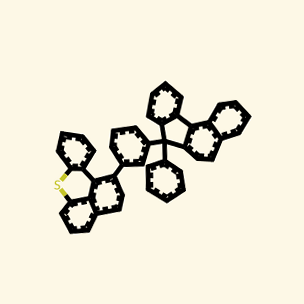 c1ccc(C2(c3cccc(-c4ccc5cccc6c5c4-c4ccccc4S6)c3)c3ccccc3-c3c2ccc2ccccc32)cc1